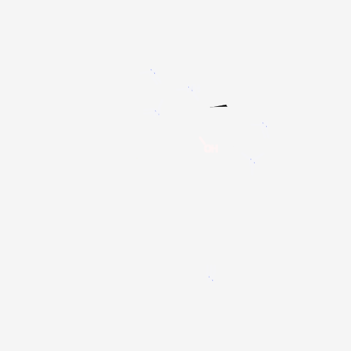 N#CCCCCn1cnc(C[C@@H](CO)Nc2nccc(-c3cc4ccccc4s3)n2)c1